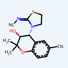 CC1(C)Oc2ccc(C#N)cc2[C@@H](N2CCS/C2=N/C#N)[C@@H]1O